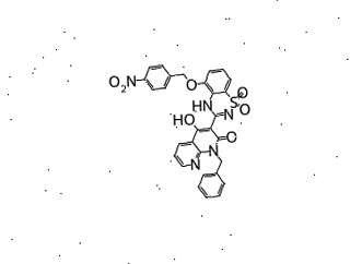 O=c1c(C2=NS(=O)(=O)c3cccc(OCc4ccc([N+](=O)[O-])cc4)c3N2)c(O)c2cccnc2n1Cc1ccccc1